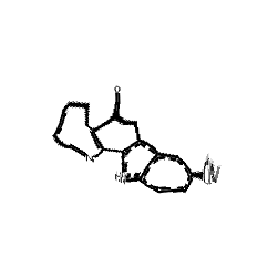 N#Cc1ccc2[nH]c3c(c2c1)CC(=O)C1=C3N=CC=CC1